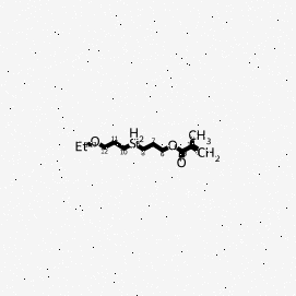 C=C(C)C(=O)OCCC[SiH2]CCCOCC